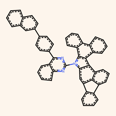 c1ccc2c(c1)-c1cccc3c1c-2cc1c3c2c3ccccc3c3ccccc3c2n1-c1nc(-c2ccc(-c3ccc4ccccc4c3)cc2)c2ccccc2n1